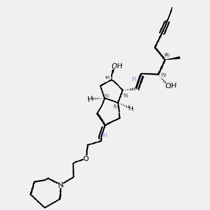 CC#CC[C@@H](C)[C@H](O)/C=C/[C@@H]1[C@H]2C/C(=C/COCCN3CCCCC3)C[C@H]2C[C@H]1O